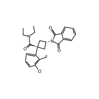 CCN(CC)C(=O)[C@]1(c2cccc(Cl)c2F)C[C@@H](N2C(=O)c3ccccc3C2=O)C1